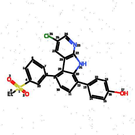 CCS(=O)(=O)c1cccc(-c2ccc(-c3ccc(O)cc3)c3[nH]c4ncc(Cl)cc4c23)c1